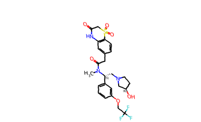 CN(C(=O)Cc1ccc2c(c1)NC(=O)CS2(=O)=O)[C@H](CN1CC[C@@H](O)C1)c1cccc(OCC(F)(F)F)c1